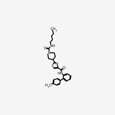 CCCCCNC(=O)N1CCC(c2nc(C(=O)Nc3ccccc3-c3ccc(C)cc3)cs2)CC1